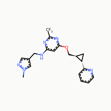 Cn1cc(CNc2cc(OC[C@H]3C[C@@H]3c3ccccn3)nc(C(F)(F)F)n2)cn1